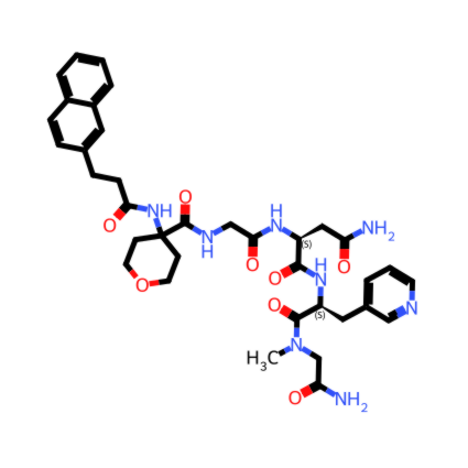 CN(CC(N)=O)C(=O)[C@H](Cc1cccnc1)NC(=O)[C@H](CC(N)=O)NC(=O)CNC(=O)C1(NC(=O)CCc2ccc3ccccc3c2)CCOCC1